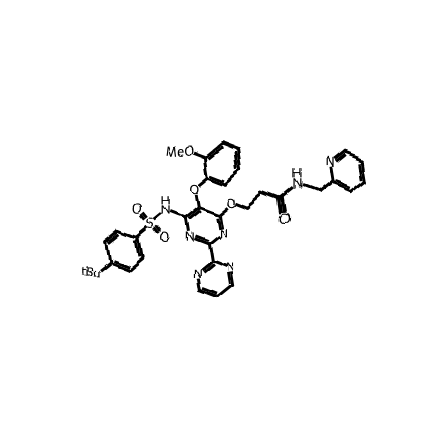 COc1ccccc1Oc1c(NS(=O)(=O)c2ccc(C(C)(C)C)cc2)nc(-c2ncccn2)nc1OCCC(=O)NCc1ccccn1